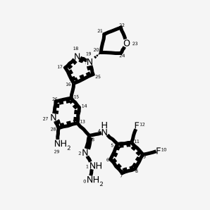 NN/N=C(\Nc1cccc(F)c1F)c1cc(-c2cnn([C@@H]3CCOC3)c2)cnc1N